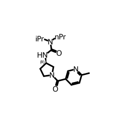 CCCN(C(=O)N[C@@H]1CCN(C(=O)c2ccc(C)nc2)C1)C(C)C